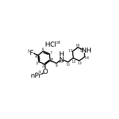 CCCOc1cc(F)ccc1CNCC1CCNCC1.Cl